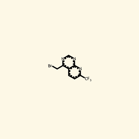 FC(F)(F)c1ccc2c(CBr)ncnc2n1